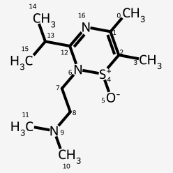 CC1=C(C)[S+]([O-])N(CCN(C)C)C(C(C)C)=N1